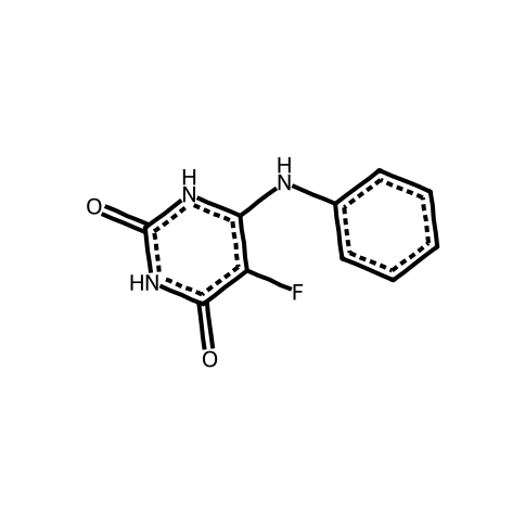 O=c1[nH]c(Nc2ccccc2)c(F)c(=O)[nH]1